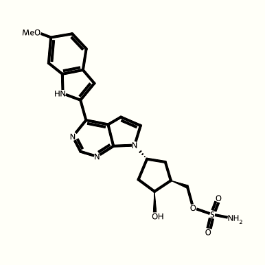 COc1ccc2cc(-c3ncnc4c3ccn4[C@@H]3C[C@@H](COS(N)(=O)=O)[C@@H](O)C3)[nH]c2c1